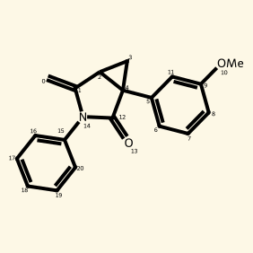 C=C1C2CC2(c2cccc(OC)c2)C(=O)N1c1ccccc1